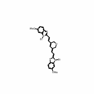 CCN1/C(=C/C=C2C=C(/C=C/c3sc4ccc(OC)cc4[n+]3CC)COC/2)Sc2ccc(OC)cc21